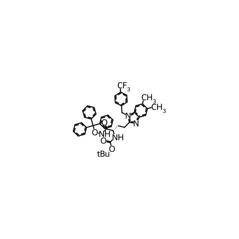 Cc1cc2nc(CC[C@H](NC(=O)OC(C)(C)C)C(=O)NOC(c3ccccc3)(c3ccccc3)c3ccccc3)n(Cc3ccc(C(F)(F)F)cc3)c2cc1C